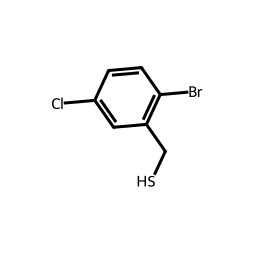 SCc1cc(Cl)ccc1Br